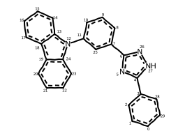 c1ccc(-c2nc(-c3cccc(-n4c5ccccc5c5ccccc54)c3)n[nH]2)cc1